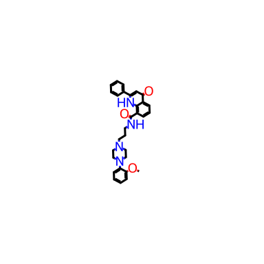 COc1ccccc1N1CCN(CCCNC(=O)c2cccc3c(=O)cc(-c4ccccc4)[nH]c23)CC1